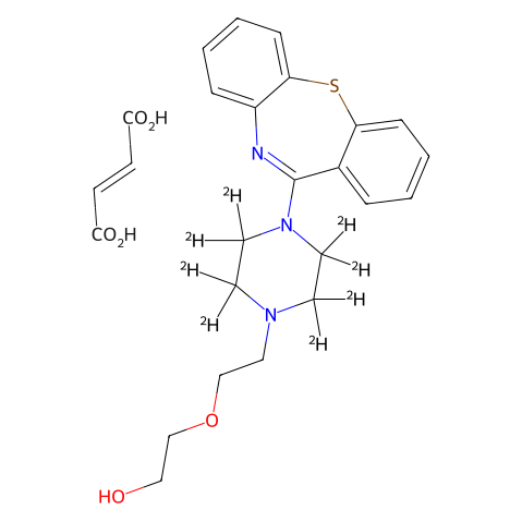 O=C(O)/C=C/C(=O)O.[2H]C1([2H])N(CCOCCO)C([2H])([2H])C([2H])([2H])N(C2=Nc3ccccc3Sc3ccccc32)C1([2H])[2H]